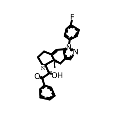 C[C@]12Cc3cnn(-c4ccc(F)cc4)c3C=C1CCC[C@@H]2[C@@H](O)C(=O)c1ccccc1